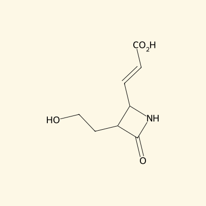 O=C(O)C=CC1NC(=O)C1CCO